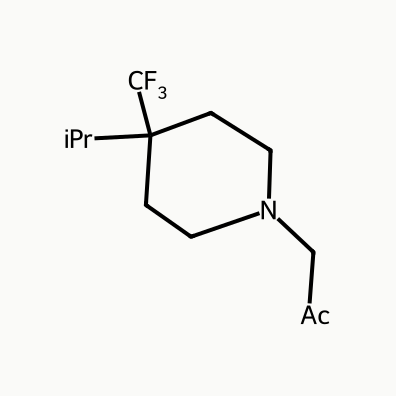 CC(=O)CN1CCC(C(C)C)(C(F)(F)F)CC1